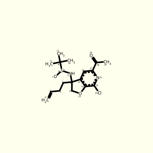 C=CCCC1(N[S+]([O-])C(C)(C)C)COc2c1cc(C(C)=O)nc2Cl